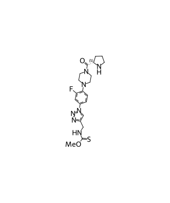 COC(=S)NCc1cn(-c2ccc(N3CCN(C(=O)[C@@H]4CCCN4)CC3)c(F)c2)nn1